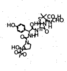 CC1(C)S[C@@H]2[C@@H](NC(=O)C(NC(=O)N3CCC4C3[N+]4(O)S(C)(=O)=O)c3ccc(O)cc3)C(=O)N2[C@@]1(NC=O)C(=O)O